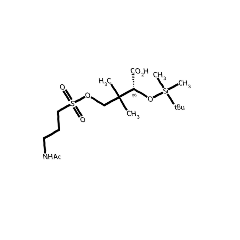 CC(=O)NCCCS(=O)(=O)OCC(C)(C)[C@@H](O[Si](C)(C)C(C)(C)C)C(=O)O